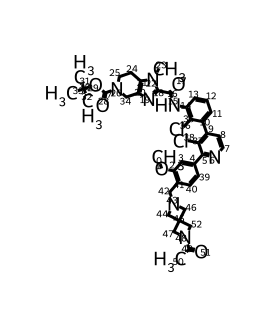 COc1cc(-c2nccc(-c3cccc(NC(=O)c4nc5c(n4C)CCN(C(=O)OC(C)(C)C)C5)c3Cl)c2Cl)ccc1CN1CC2(C1)CN(C(C)=O)C2